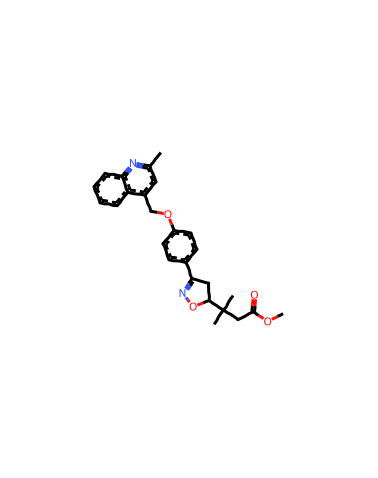 COC(=O)CC(C)(C)C1CC(c2ccc(OCc3cc(C)nc4ccccc34)cc2)=NO1